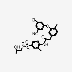 Cc1cc(S(=O)(=O)NCC(C)O)ccc1NC(=O)Cc1ccc(C)c(Oc2cc(Cl)cc(C#N)c2)c1